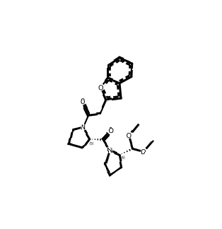 COC(OC)[C@@H]1CCCN1C(=O)[C@@H]1CCCN1C(=O)Cc1cc2ccccc2o1